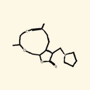 CC1=CCCC(C)OCC2OC(=O)C(CN3CCCC3)C2CC1